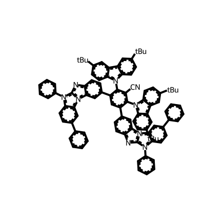 CC(C)(C)c1ccc2c(c1)c1cc(C(C)(C)C)ccc1n2-c1c(-c2ccc3nc4n(-c5ccccc5)c5ccc(-c6ccccc6)cc5n4c3c2)cc(-c2ccc3nc4n(-c5ccccc5)c5ccc(-c6ccccc6)cc5n4c3c2)c(-n2c3ccc(C(C)(C)C)cc3c3cc(C(C)(C)C)ccc32)c1C#N